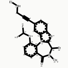 CCNCC#Cc1ccc2nc3n(c2c1)-c1c(OC(F)F)cccc1C(=O)N(C)C3CC